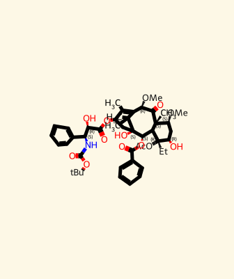 CC[C@@]1(OC(C)=O)C2[C@H](OC(=O)c3ccccc3)[C@]3(O)CC(OC(=O)[C@H](O)[C@@H](NC(=O)OC(C)(C)C)c4ccccc4)C(C)=C([C@@H](OC)C(=O)[C@]2(C)[C@@H](OC)C[C@H]1O)C3(C)C